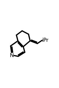 CC(C)/C=C1\CCCc2cnccc21